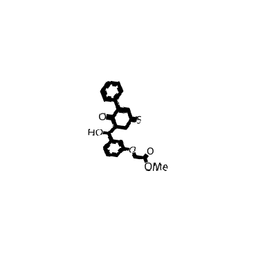 COC(=O)COc1cccc(C(O)C2CC(=S)C=C(c3ccccc3)C2=O)c1